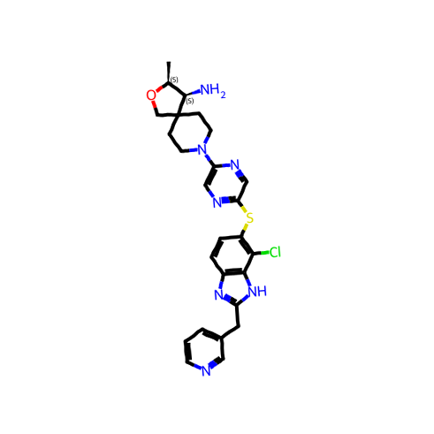 C[C@@H]1OCC2(CCN(c3cnc(Sc4ccc5nc(Cc6cccnc6)[nH]c5c4Cl)cn3)CC2)[C@@H]1N